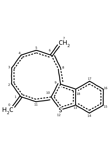 C=c1ccccc(=C)cc2c(c1)sc1ccccc12